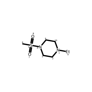 [CH2]CN1CCN(S(C)(=O)=O)CC1